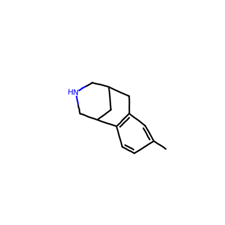 Cc1ccc2c(c1)CC1CNCC2C1